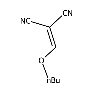 CCCCOC=C(C#N)C#N